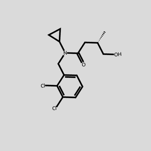 C[C@H](CO)CC(=O)N(Cc1cccc(Cl)c1Cl)C1CC1